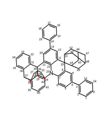 c1ccc(-c2ccc3c(c2)C2(c4cc(-c5ccccc5)cc5c4N3c3cccc4c3C53c5ccccc5C4c4ccccc43)C3CC4CC(C3)CC2C4)cc1